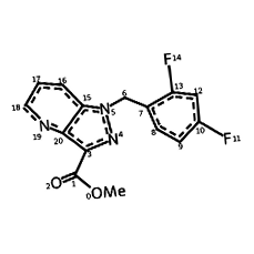 COC(=O)c1nn(Cc2ccc(F)cc2F)c2cccnc12